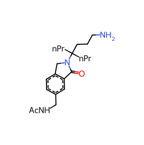 CCCC(CCC)(CCCN)N1Cc2ccc(CNC(C)=O)cc2C1=O